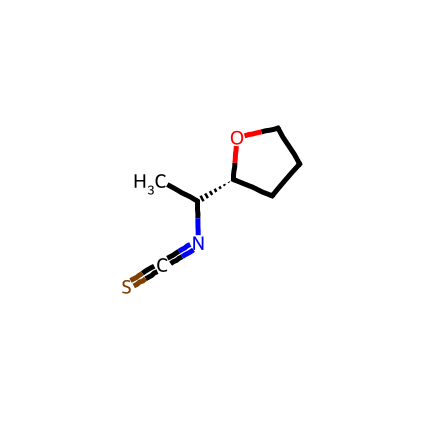 CC(N=C=S)[C@H]1CCCO1